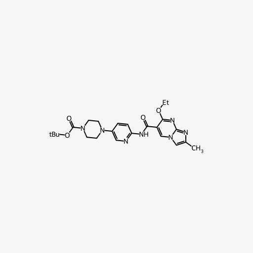 CCOc1nc2nc(C)cn2cc1C(=O)Nc1ccc(N2CCN(C(=O)OC(C)(C)C)CC2)cn1